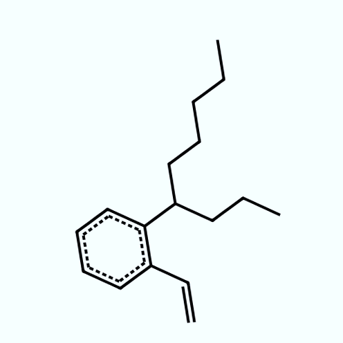 C=Cc1ccccc1C(CCC)CCCCC